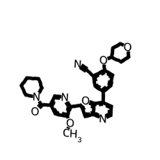 COc1cc(C(=O)N2CCCCC2)cnc1-c1cc2nccc(-c3ccc(OC4CCOCC4)c(C#N)c3)c2o1